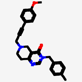 COc1ccc(C#CCN2CCc3ncn(Cc4ccc(C)cc4)c(=O)c3C2)cc1